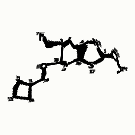 CC(C)Oc1nc2cc(F)c(OCC3CCC3)nc2s1